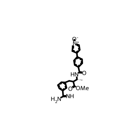 COC(=O)C(Cc1cccc(C(=N)N)c1)[C@@H](C)NC(=O)c1ccc(-c2cc[n+]([O-])cc2)cc1